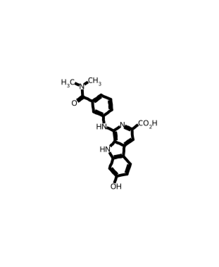 CN(C)C(=O)c1cccc(Nc2nc(C(=O)O)cc3c2[nH]c2cc(O)ccc23)c1